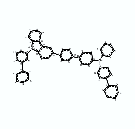 c1ccc(-c2ccc(N(c3ccccc3)c3ccc(-c4ccc(-c5ccc6c(c5)c5ccccc5n6-c5cccc(-c6ccccc6)c5)cc4)cc3)cc2)cc1